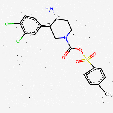 Cc1ccc(S(=O)(=O)OC(=O)N2CC[C@@H](N)[C@H](c3ccc(Cl)c(Cl)c3)C2)cc1